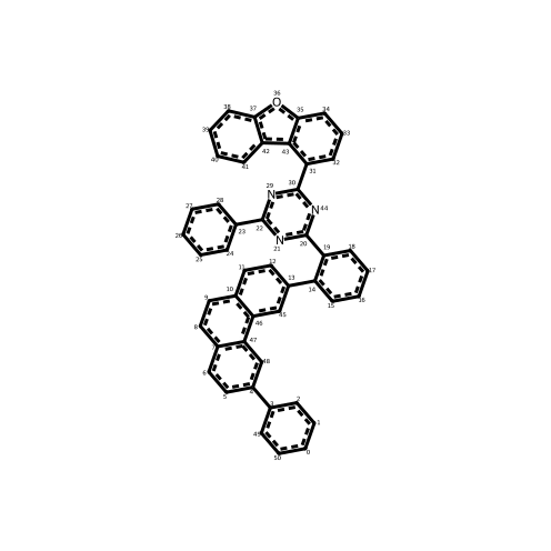 c1ccc(-c2ccc3ccc4ccc(-c5ccccc5-c5nc(-c6ccccc6)nc(-c6cccc7oc8ccccc8c67)n5)cc4c3c2)cc1